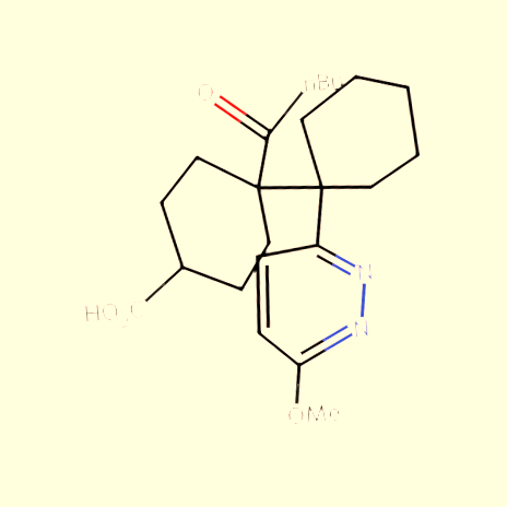 CCCCC(=O)C1(C2(c3ccc(OC)nn3)CCCCC2)CCC(C(=O)O)CC1